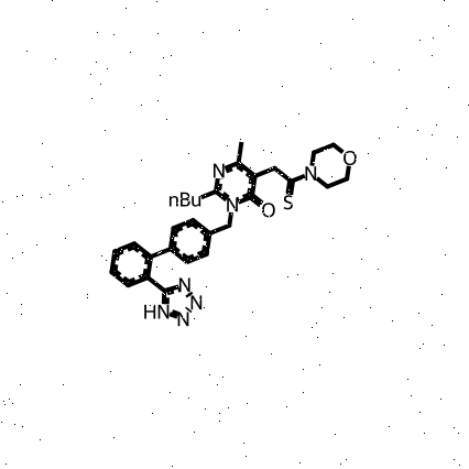 CCCCc1nc(C)c(CC(=S)N2CCOCC2)c(=O)n1Cc1ccc(-c2ccccc2-c2nnn[nH]2)cc1